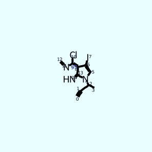 C#CC(C)N1C=C(I)/C(=C(\Cl)N=C)C1=N